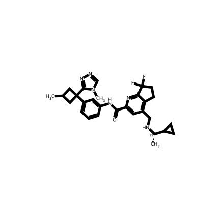 CC1CC(c2cccc(NC(=O)c3cc(CN[C@@H](C)C4CC4)c4c(n3)C(F)(F)CC4)c2)(c2nncn2C)C1